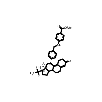 COC(=O)c1ccc(NCc2ccc([C@H]3C[C@@]4(C)C(CC[C@@]4(O)C(F)(F)C(F)(F)F)C4CCC5=CC(=O)CCC5=C43)cc2)cc1